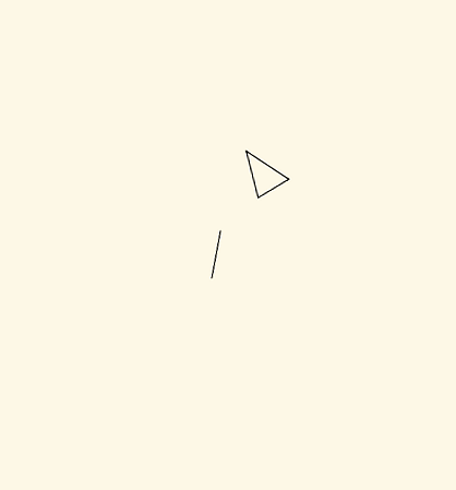 C1CC1.CC